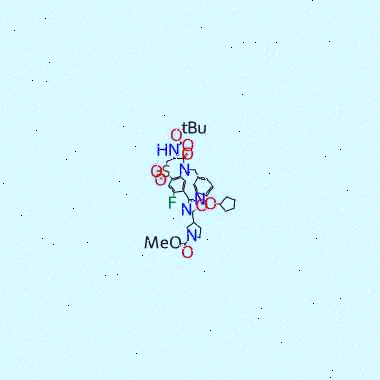 COC(=O)N1CCC(c2nc(-c3cc4c(cc3F)S(=O)(=O)C[C@H](NC(=O)OC(C)(C)C)C(=O)N4Cc3ccc(OC4CCCC4)cc3)no2)C1